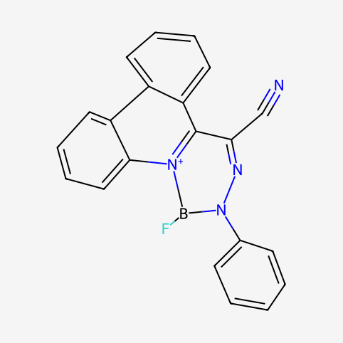 N#CC1=NN(c2ccccc2)B(F)[n+]2c1c1ccccc1c1ccccc12